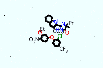 CC(C)C1(C)N=C(c2nc3ccccc3cc2C(=O)O)NC1=O.CCOc1cc(Oc2ccc(C(F)(F)F)cc2Cl)ccc1[N+](=O)[O-]